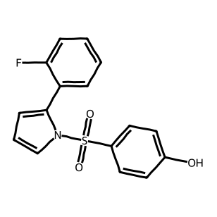 O=S(=O)(c1ccc(O)cc1)n1cccc1-c1ccccc1F